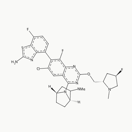 CNC1C[C@H]2CC[C@H]1N2c1nc(OC[C@@H]2C[C@@H](F)CN2C)nc2c(F)c(-c3ccc(F)c4sc(N)nc34)c(Cl)cc12